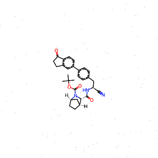 CC(C)(C)OC(=O)N1[C@@H]2CC[C@@H](C2)[C@H]1C(=O)N[C@H](C#N)Cc1ccc(-c2ccc3c(c2)CCC3=O)cc1